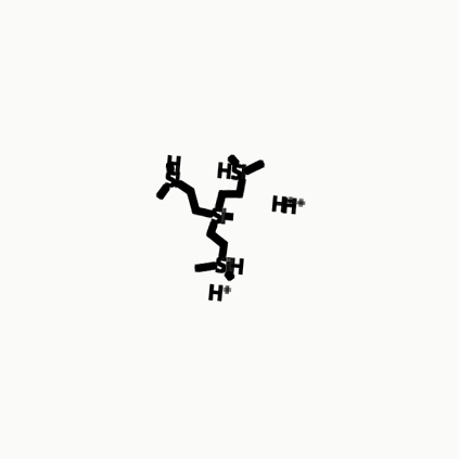 C[SiH](C)CC[Si](C)(CC[SiH](C)C)CC[SiH](C)C.[H+].[H+].[H+]